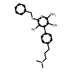 CN(C)CCCc1ccc(-c2c(C#N)c(N)nc(SCc3ccccc3)c2C#N)cc1